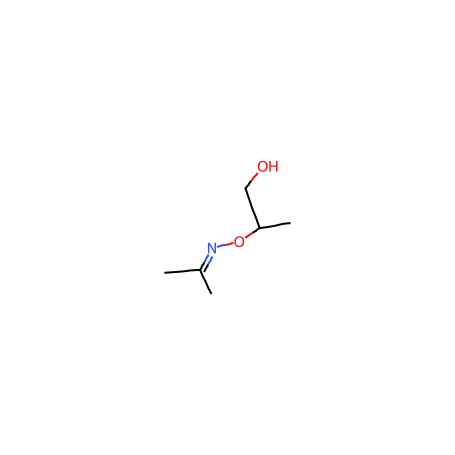 CC(C)=NOC(C)CO